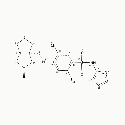 C[C@H]1CN2CCC[C@@]2(CNc2cc(F)c(S(=O)(=O)Nc3nccs3)cc2Cl)C1